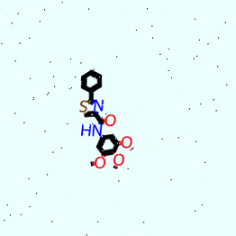 COc1cc(NC(=O)c2csc(-c3ccccc3)n2)cc(OC)c1OC